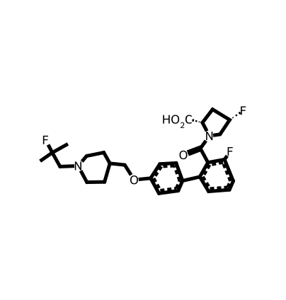 CC(C)(F)CN1CCC(COc2ccc(-c3cccc(F)c3C(=O)N3C[C@@H](F)C[C@H]3C(=O)O)cc2)CC1